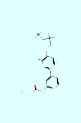 COC(=O)Nc1cc(-c2ccc(OCC(C)(N)CC(C)(C)F)c(C)n2)ccn1